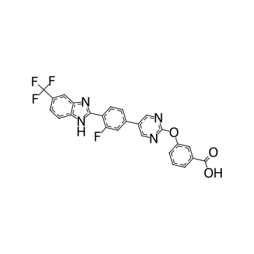 O=C(O)c1cccc(Oc2ncc(-c3ccc(-c4nc5cc(C(F)(F)F)ccc5[nH]4)c(F)c3)cn2)c1